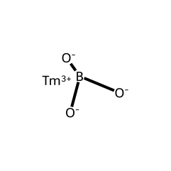 [O-]B([O-])[O-].[Tm+3]